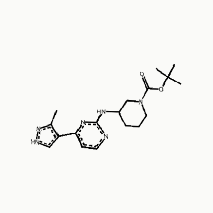 Cc1n[nH]cc1-c1ccnc(NC2CCCN(C(=O)OC(C)(C)C)C2)n1